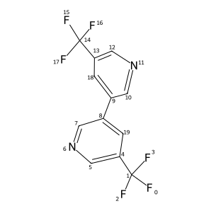 FC(F)(F)c1cncc(-c2cncc(C(F)(F)F)c2)c1